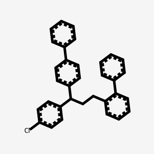 Clc1ccc(C(CCc2ccccc2-c2ccccc2)c2ccc(-c3ccccc3)cc2)cc1